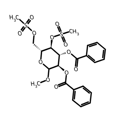 COC1O[C@H](COS(C)(=O)=O)[C@@H](OS(C)(=O)=O)[C@H](OC(=O)c2ccccc2)[C@H]1OC(=O)c1ccccc1